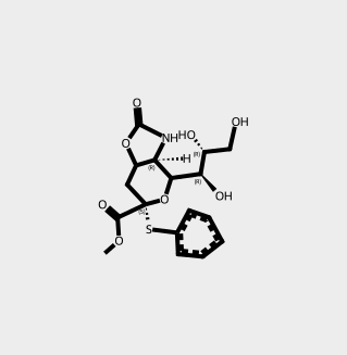 COC(=O)[C@@]1(Sc2ccccc2)CC2OC(=O)N[C@H]2C([C@H](O)[C@H](O)CO)O1